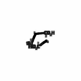 CC(C)(C)CC(=O)O.CCOC(C)=O